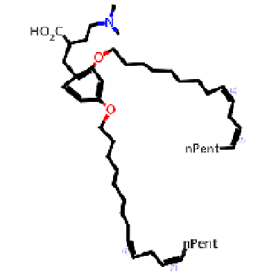 CCCCC/C=C\C/C=C\CCCCCCCCOc1ccc(CC(CCN(C)C)C(=O)O)c(OCCCCCCCC/C=C\C/C=C\CCCCC)c1